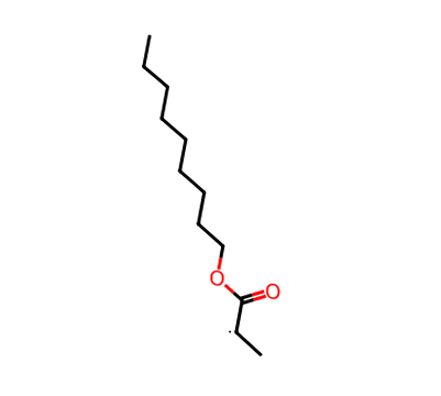 C[CH]C(=O)OCCCCCCCCC